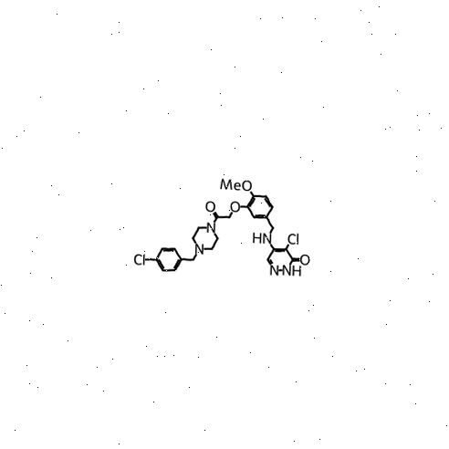 COc1ccc(CNc2cn[nH]c(=O)c2Cl)cc1OCC(=O)N1CCN(Cc2ccc(Cl)cc2)CC1